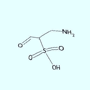 NC[C](C=O)S(=O)(=O)O